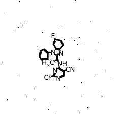 C[C@H](Nc1nc(Cl)ncc1C#N)c1nc2ccc(F)cc2n1-c1ccccc1